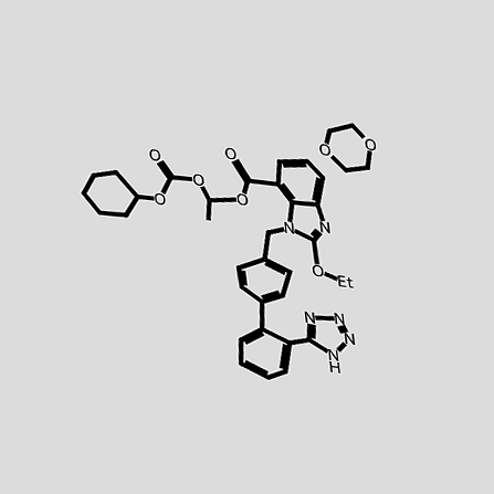 C1COCCO1.CCOc1nc2cccc(C(=O)OC(C)OC(=O)OC3CCCCC3)c2n1Cc1ccc(-c2ccccc2-c2nnn[nH]2)cc1